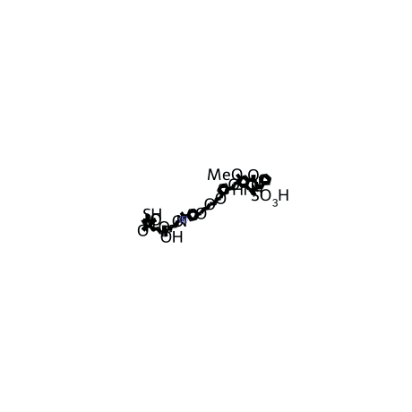 COc1cc2c(cc1OCc1cccc(OCCOCCOc3ccc(/C(C)=N/OCCCP(=O)(O)CCCN4C(=O)CC(S)C4=O)cc3)c1)NC(S(=O)(=O)O)[C@@H]1Cc3ccccc3N1C2=O